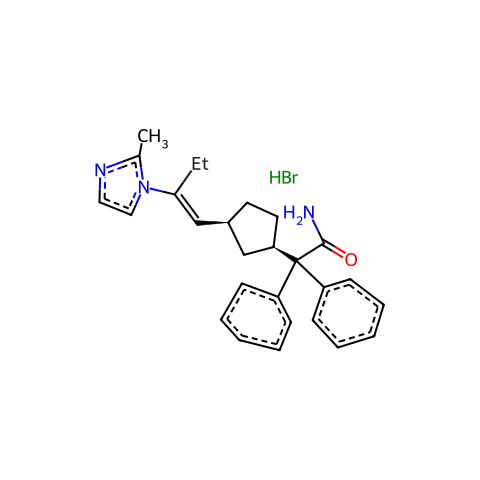 Br.CC/C(=C\[C@H]1CC[C@@H](C(C(N)=O)(c2ccccc2)c2ccccc2)C1)n1ccnc1C